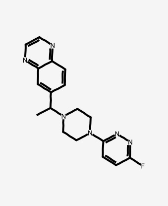 CC(c1ccc2nccnc2c1)N1CCN(c2ccc(F)nn2)CC1